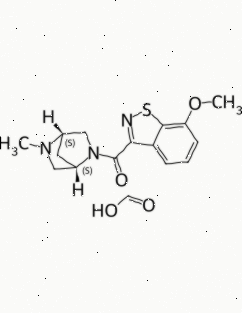 COc1cccc2c(C(=O)N3C[C@@H]4C[C@H]3CN4C)nsc12.O=CO